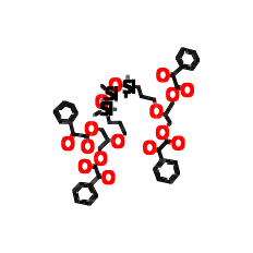 C[Si](C)(CCCOC(COC(=O)C(=O)c1ccccc1)COC(=O)C(=O)c1ccccc1)O[Si](C)(C)O[Si](C)(C)CCCOC(COC(=O)C(=O)c1ccccc1)COC(=O)C(=O)c1ccccc1